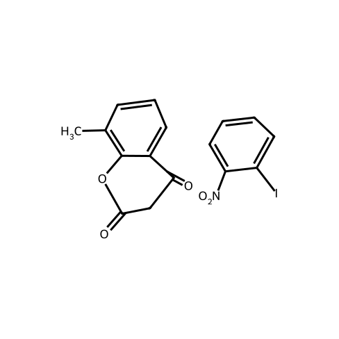 Cc1cccc2c1OC(=O)CC2=O.O=[N+]([O-])c1ccccc1I